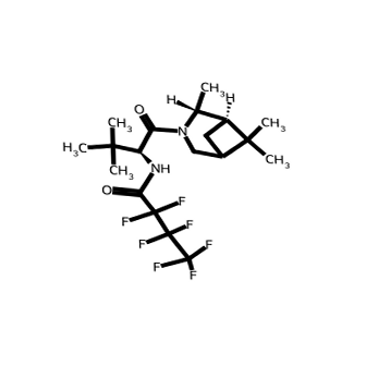 C[C@@H]1[C@@H]2CC(CN1C(=O)[C@@H](NC(=O)C(F)(F)C(F)(F)C(F)(F)F)C(C)(C)C)C2(C)C